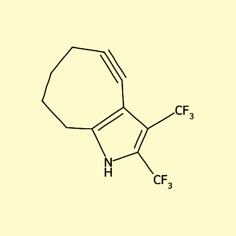 FC(F)(F)c1[nH]c2c(c1C(F)(F)F)C#CCCCC2